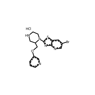 Brc1cnc2nc(N3CCNCC3COc3cccnc3)sc2c1.Cl